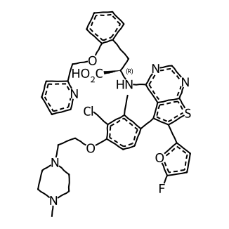 Cc1c(-c2c(-c3ccc(F)o3)sc3ncnc(N[C@H](Cc4ccccc4OCc4ccccn4)C(=O)O)c23)ccc(OCCN2CCN(C)CC2)c1Cl